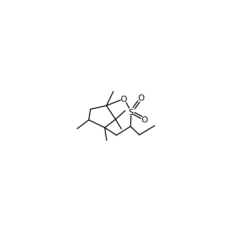 CCC1CC2(C)C(C)CC(C)(OS1(=O)=O)C2(C)C